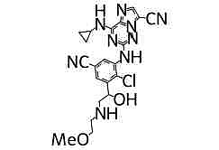 COCCNCC(O)c1cc(C#N)cc(Nc2nc(NC3CC3)c3ncc(C#N)n3n2)c1Cl